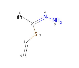 C=CS/C(=N\N)C(C)C